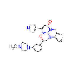 CN1CCN(c2cccc(C(=O)CN3c4ccccc4Cn4c3nc(-c3ccncc3)cc4=O)c2)CC1